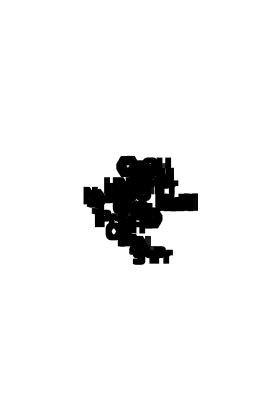 CCCC(O[C@@H](C[C@H](Cc1ccccc1)NC(=O)[C@@H](NC(=O)N(C)Cc1csc(C(C)C)n1)C(C)C)[C@H](Cc1ccccc1)NC(=O)OCc1cncs1)OP(=O)(O)O.[NaH].[NaH]